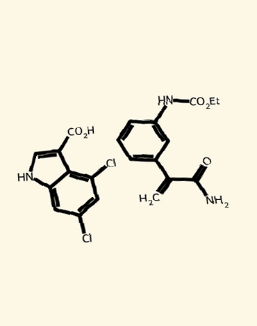 C=C(C(N)=O)c1cccc(NC(=O)OCC)c1.O=C(O)c1c[nH]c2cc(Cl)cc(Cl)c12